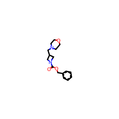 O=C(OCc1ccccc1)N1CC(CN2CCOCC2)C1